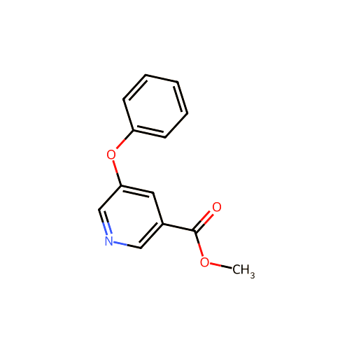 COC(=O)c1cncc(Oc2ccccc2)c1